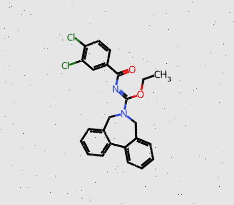 CCO/C(=N\C(=O)c1ccc(Cl)c(Cl)c1)N1Cc2ccccc2-c2ccccc2C1